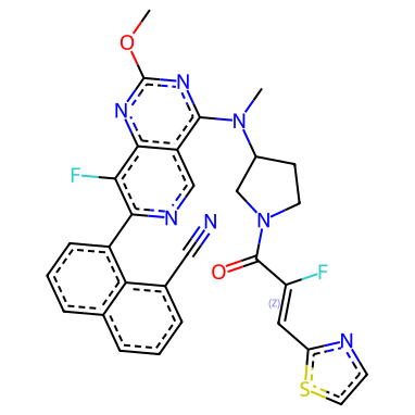 COc1nc(N(C)C2CCN(C(=O)/C(F)=C/c3nccs3)C2)c2cnc(-c3cccc4cccc(C#N)c34)c(F)c2n1